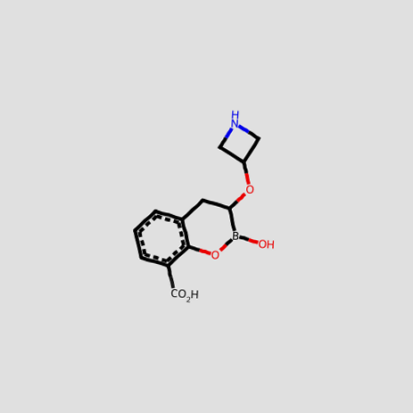 O=C(O)c1cccc2c1OB(O)C(OC1CNC1)C2